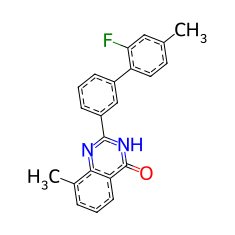 Cc1ccc(-c2cccc(-c3nc4c(C)cccc4c(=O)[nH]3)c2)c(F)c1